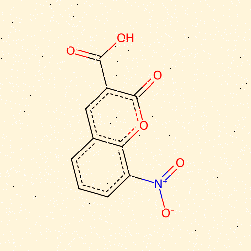 O=C(O)c1cc2cccc([N+](=O)[O-])c2oc1=O